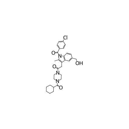 Cc1c(CC(=O)N2CCN(C(=O)C3CCCCC3)CC2)c2cc(CO)ccc2n1C(=O)c1ccc(Cl)cc1